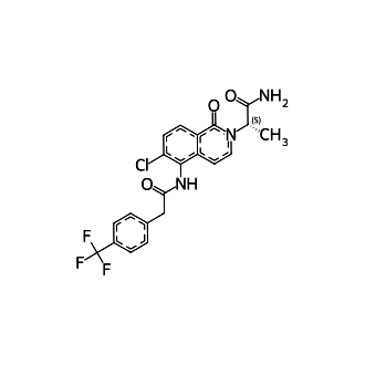 C[C@@H](C(N)=O)n1ccc2c(NC(=O)Cc3ccc(C(F)(F)F)cc3)c(Cl)ccc2c1=O